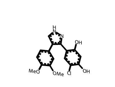 COc1ccc(-c2c[nH]nc2-c2cc(Cl)c(O)cc2O)cc1OC